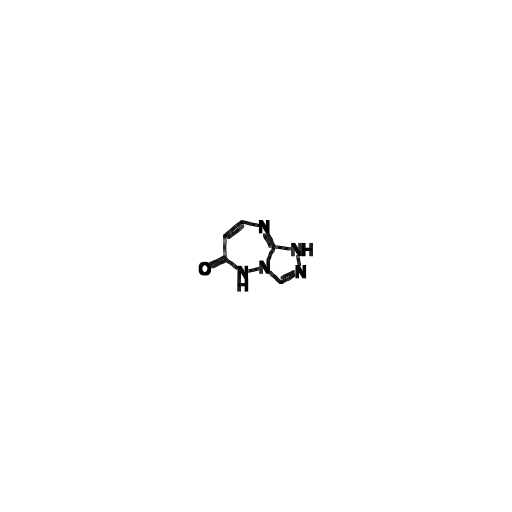 O=C1C=CN=C2NN=CN2N1